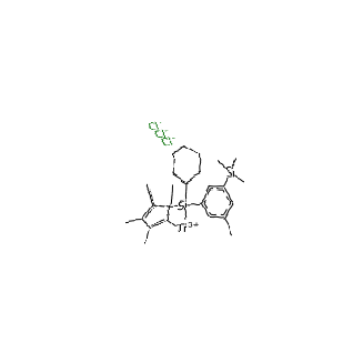 CC1=C(C)C(C)([Si](C)(c2cc(C)cc([Si](C)(C)C)c2)C2CCCCC2)[C]([Ti+3])=C1C.[Cl-].[Cl-].[Cl-]